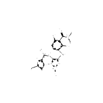 CCc1ccc(Nc2n[s+]([O-])nc2N[C@H](CC)c2ccc(C)o2)c(O)c1C(=O)N(C)C